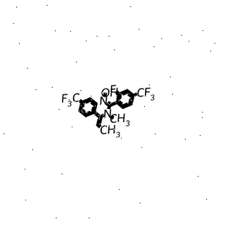 C/C=C(/c1ccc(C(F)(F)F)cc1)N(C)/C(=N/O)c1ccc(C(F)(F)F)cc1F